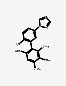 COc1cc(C=O)c(-c2cc(-n3cncn3)ccc2[N+](=O)[O-])c(OC)c1OC